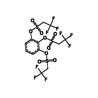 O=S(=O)(CC(F)(F)F)Oc1cccc(OS(=O)(=O)CC(F)(F)F)c1OS(=O)(=O)CC(F)(F)F